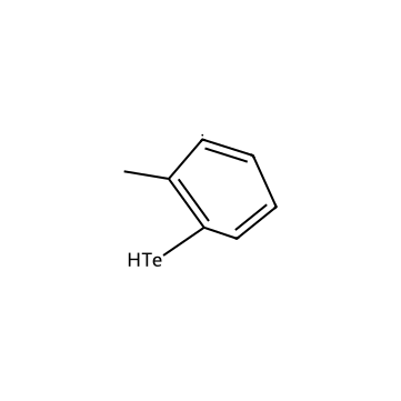 Cc1[c]cccc1[TeH]